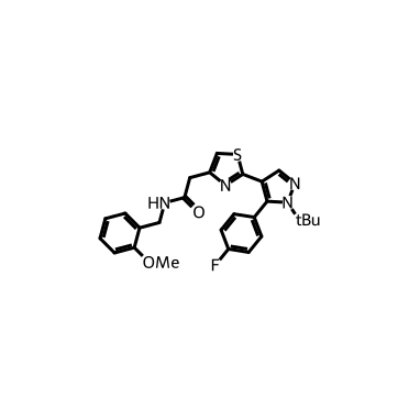 COc1ccccc1CNC(=O)Cc1csc(-c2cnn(C(C)(C)C)c2-c2ccc(F)cc2)n1